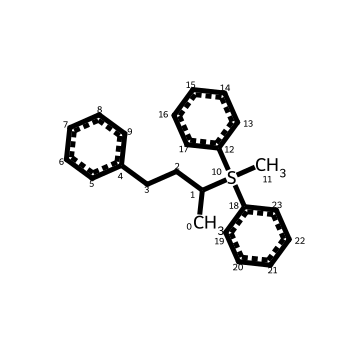 CC(CCc1ccccc1)S(C)(c1ccccc1)c1ccccc1